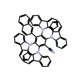 N#Cc1c(-n2c3ccccc3c3ccccc32)c(-n2c3ccccc3c3ccccc32)c(-c2ccc3ccccc3c2)c(-n2c3ccccc3c3ccccc32)c1-n1c2ccccc2c2ccccc21